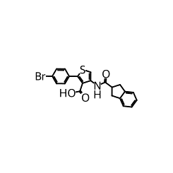 O=C(O)c1c(NC(=O)C2Cc3ccccc3C2)csc1-c1ccc(Br)cc1